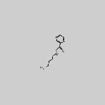 CCCCCOCC(=O)c1ccccc1